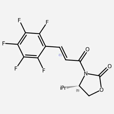 CC(C)[C@H]1COC(=O)N1C(=O)/C=C/c1c(F)c(F)c(F)c(F)c1F